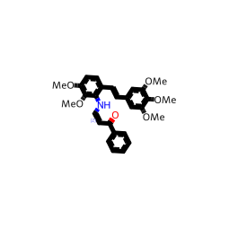 COc1cc(C=Cc2ccc(OC)c(OC)c2N/C=C\C(=O)c2ccccc2)cc(OC)c1OC